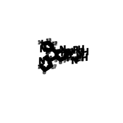 c1cncc(-c2cccnc2-c2cccnc2)c1.n1p[nH][pH][nH][pH]1